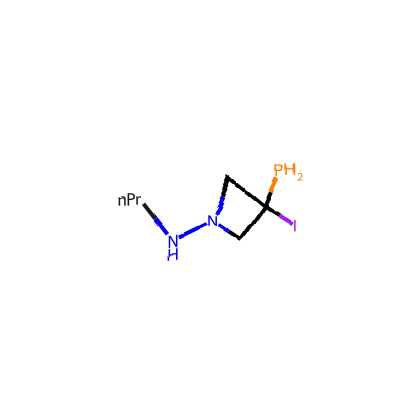 CCCNN1CC(P)(I)C1